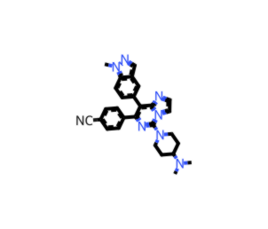 CN(C)C1CCN(c2nc(-c3ccc(C#N)cc3)c(-c3ccc4c(cnn4C)c3)c3nccn23)CC1